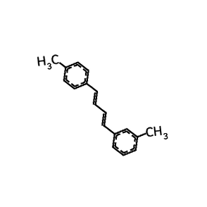 Cc1ccc(C=CC=Cc2cccc(C)c2)cc1